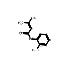 C=C(C=C(C)C)Nc1ccccc1C